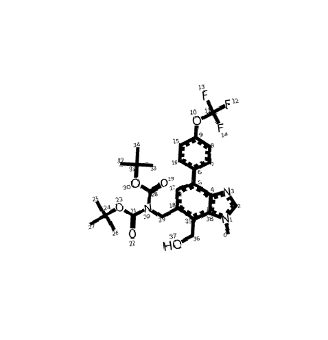 Cn1cnc2c(-c3ccc(OC(F)(F)F)cc3)cc(CN(C(=O)OC(C)(C)C)C(=O)OC(C)(C)C)c(CO)c21